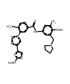 COc1c(CN2CCCC2)cc(NC(=O)c2ccc(C)c(-n3cc(-c4cnc(NC(C)=O)s4)nn3)c2)cc1C(F)(F)F